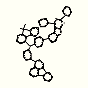 CC1(C)c2ccccc2-c2c(N(c3ccc(-c4ccc5sc6nc(-c7ccccc7)nc(-c7ccccc7)c6c5c4)cc3)c3cccc(-c4ccc5c6c(cccc46)-c4ccccc4-5)c3)cccc21